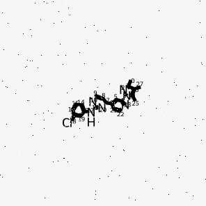 Cc1nn(-c2cc(-c3ccnc(Nc4cccc(Cl)c4)n3)ccn2)c(C)c1C